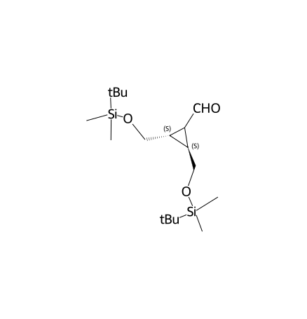 CC(C)(C)[Si](C)(C)OC[C@@H]1C(C=O)[C@H]1CO[Si](C)(C)C(C)(C)C